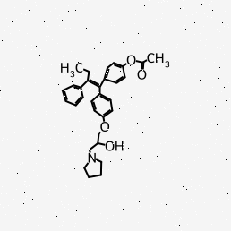 CC/C(=C(/c1ccc(OCC(O)CN2CCCC2)cc1)c1ccc(OC(C)=O)cc1)c1ccccc1